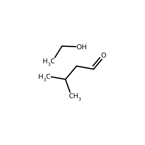 CC(C)CC=O.CCO